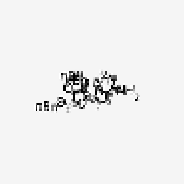 CCCCOC[C@H]1O[C@@H](c2ccc3c(N)ncnn23)[C@H](OCCCC)[C@@H]1OCCCC